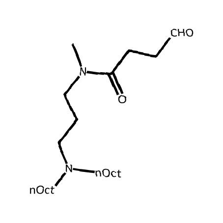 CCCCCCCCN(CCCCCCCC)CCCN(C)C(=O)CCC=O